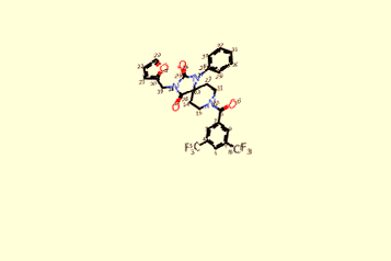 O=C(c1cc(C(F)(F)F)cc(C(F)(F)F)c1)N1CCC2(CC1)C(=O)N(Cc1ccco1)C(=O)N2c1ccccc1